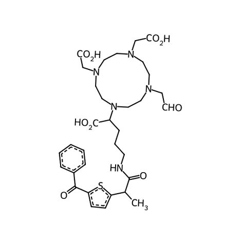 CC(C(=O)NCCCC(C(=O)O)N1CCN(CC=O)CCN(CC(=O)O)CCN(CC(=O)O)CC1)c1ccc(C(=O)c2ccccc2)s1